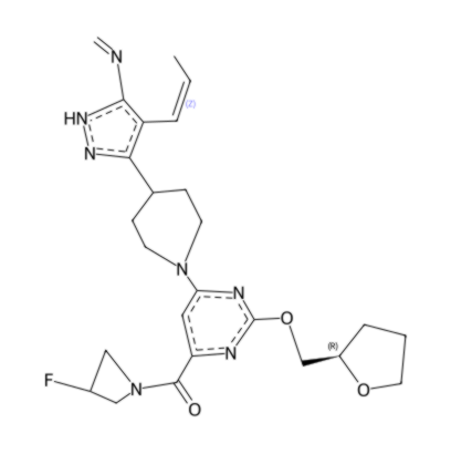 C=Nc1[nH]nc(C2CCN(c3cc(C(=O)N4CC(F)C4)nc(OC[C@H]4CCCO4)n3)CC2)c1/C=C\C